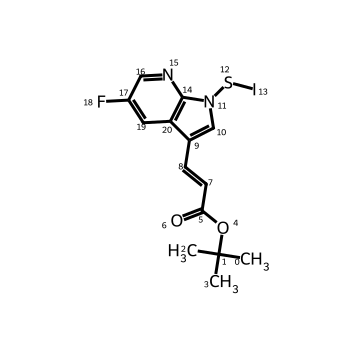 CC(C)(C)OC(=O)/C=C/c1cn(SI)c2ncc(F)cc12